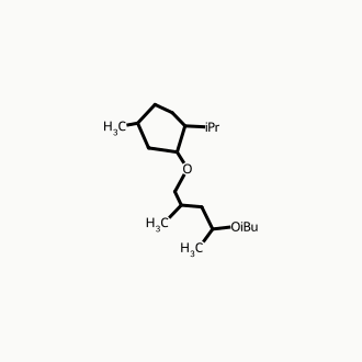 CC(C)COC(C)CC(C)COC1CC(C)CCC1C(C)C